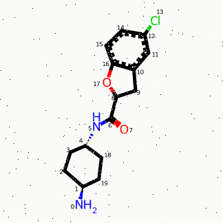 N[C@H]1CC[C@H](NC(=O)C2Cc3cc(Cl)ccc3O2)CC1